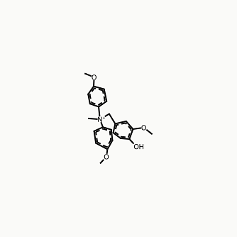 COc1ccc([N+](C)(Cc2ccc(O)c(OC)c2)c2ccc(OC)cc2)cc1